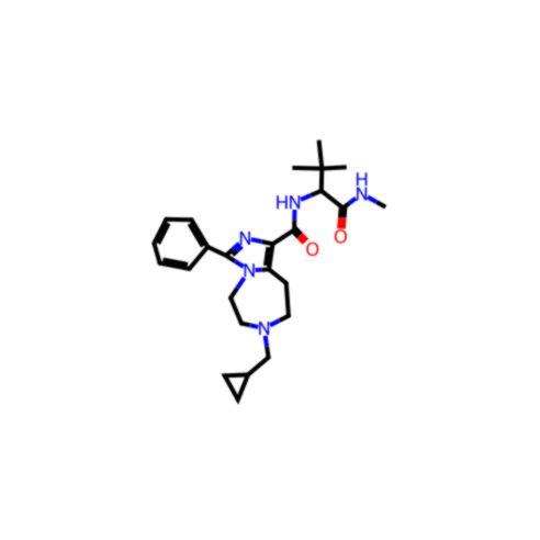 CNC(=O)C(NC(=O)c1nc(-c2ccccc2)n2c1CCN(CC1CC1)CC2)C(C)(C)C